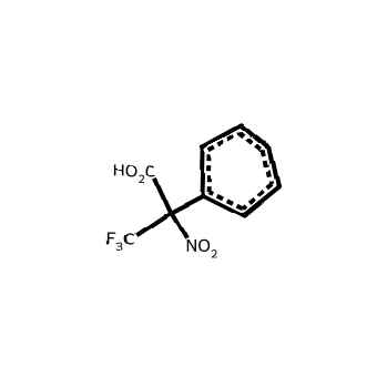 O=C(O)C(c1ccccc1)([N+](=O)[O-])C(F)(F)F